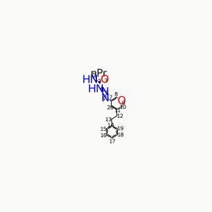 CCCNC(=O)NN=NC1=COCC(CCc2ccccc2)=C1